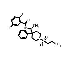 CCCS(=O)(=O)N1CCC(c2ccccc2)([C@H](C)NC(=O)c2cc(F)ccc2F)CC1